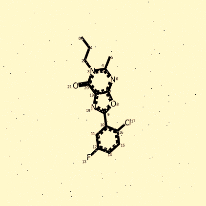 CCCn1c(C)nc2oc(-c3cc(F)ccc3Cl)nc2c1=O